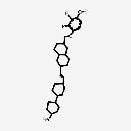 CCCC1CCC(C2CCC(/C=C/C3CCC4CC(COc5ccc(OCC)c(F)c5F)CCC4C3)CC2)CC1